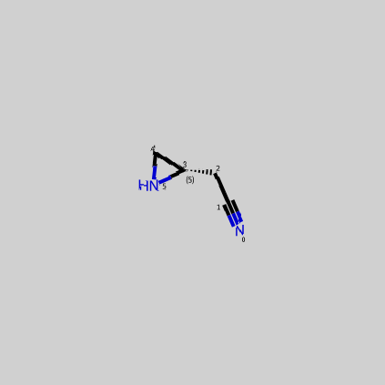 N#CC[C@H]1CN1